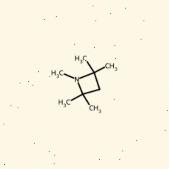 CN1C(C)(C)CC1(C)C